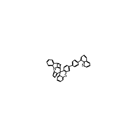 c1ccc2c(c1)Sc1cc(-c3ccc(-c4cccc5cccnc45)cc3)ccc1C21c2ccccc2-n2c3ccccc3c3cccc1c32